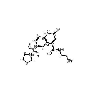 CC(C)CCNC(=O)c1cc(=O)[nH]c2ccc(S(=O)(=O)N3CCCC3)cc12